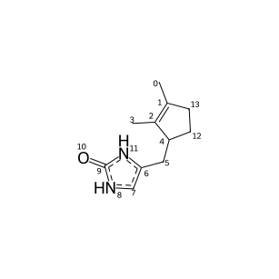 CC1=C(C)C(Cc2c[nH]c(=O)[nH]2)CC1